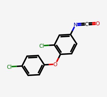 O=C=Nc1ccc(Oc2ccc(Cl)cc2)c(Cl)c1